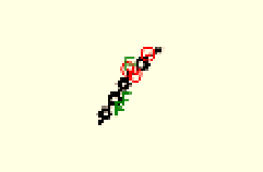 C=CCOc1ccc(OC(=O)c2ccc(-c3ccc(-c4ccc(C)cc4)c(F)c3F)cc2)c(F)c1